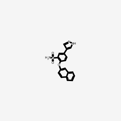 NS(=O)(=O)c1cc(-c2cn[nH]c2)ccc1Oc1ccc2ccccc2c1